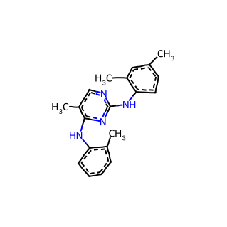 Cc1ccc(Nc2ncc(C)c(Nc3ccccc3C)n2)c(C)c1